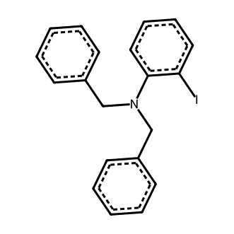 Ic1ccccc1N(Cc1ccccc1)Cc1ccccc1